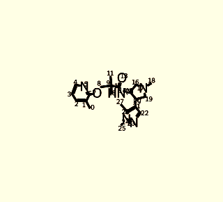 Cc1cccnc1OCC(C)(C)C(=O)N[C@@H]1CN(C)C[C@H]1c1cnn(C)c1C